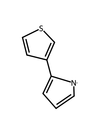 C1=C[N]C(c2ccsc2)=C1